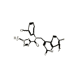 Cn1nnc(C(=O)N(Cc2cc(=O)[nH]c3c(F)c(F)ccc23)c2cccc(Cl)c2)n1